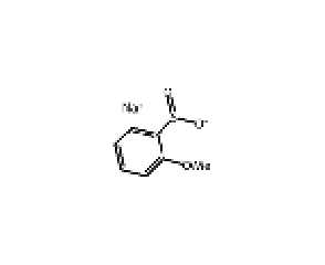 COc1ccccc1S(=O)[O-].[Na+]